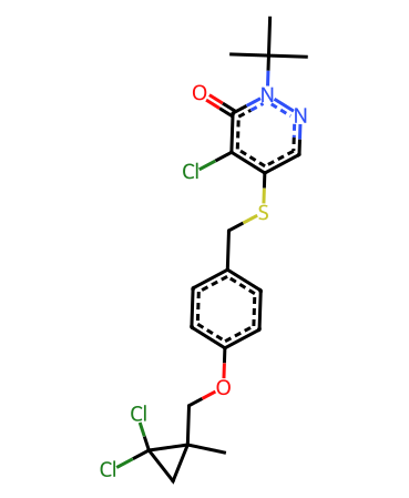 CC(C)(C)n1ncc(SCc2ccc(OCC3(C)CC3(Cl)Cl)cc2)c(Cl)c1=O